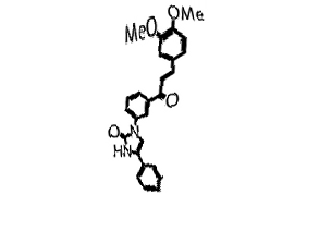 COc1ccc(C=CC(=O)c2cccc(-n3cc(-c4ccccc4)[nH]c3=O)c2)cc1OC